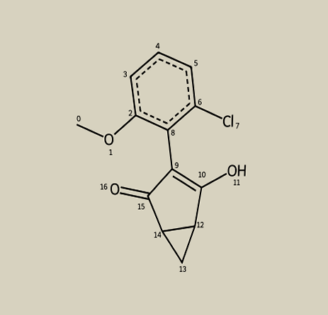 COc1cccc(Cl)c1C1=C(O)C2CC2C1=O